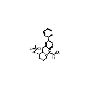 CCNC(=O)N1CCCC(NS(C)(=O)=O)C1Cc1cccc(-c2ccccc2)c1